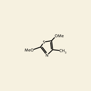 COc1nc(C)c(OC)s1